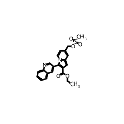 CCOC(=O)c1cc2cc(COS(C)(=O)=O)ccn2c1-c1cnc2ccccc2c1